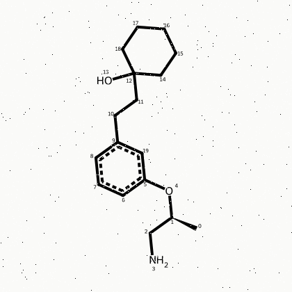 C[C@@H](CN)Oc1cccc(CCC2(O)CCCCC2)c1